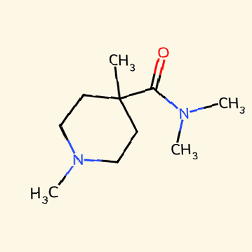 CN1CCC(C)(C(=O)N(C)C)CC1